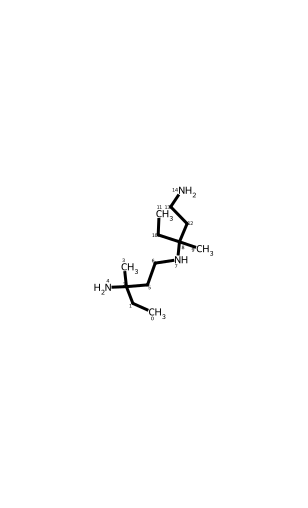 CCC(C)(N)CCNC(C)(CC)CCN